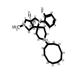 CN1C[C@H]2CN(c3ccccc3F)C3(CCN(C4CCCCCCCCC4)CC3)[C@H]2C1